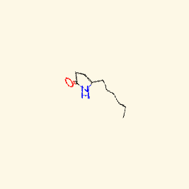 CCCCCCC1CCC(=O)N1